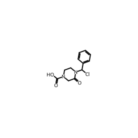 O=C(O)N1CCN(C(Cl)c2ccccc2)C(=O)C1